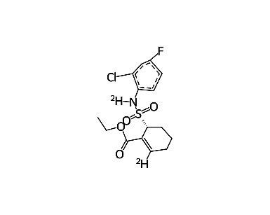 [2H]C1=C(C(=O)OCC)[C@H](S(=O)(=O)N([2H])c2ccc(F)cc2Cl)CCC1